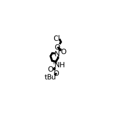 CC(C)(C)OC(=O)N[C@@H]1CCCN(C(=O)OCCl)C1